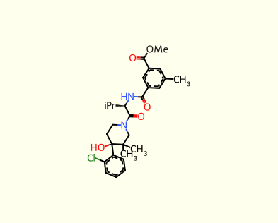 COC(=O)c1cc(C)cc(C(=O)N[C@@H](C(=O)N2CC[C@@](O)(c3ccccc3Cl)C(C)(C)C2)C(C)C)c1